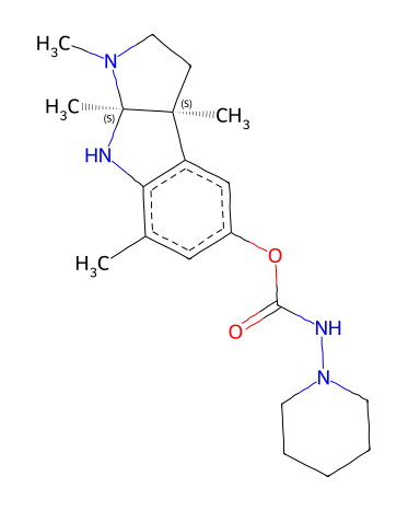 Cc1cc(OC(=O)NN2CCCCC2)cc2c1N[C@@]1(C)N(C)CC[C@@]21C